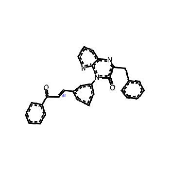 O=C(/C=C/c1cccc(-n2c(=O)c(Cc3ccccc3)nc3cccnc32)c1)c1ccccc1